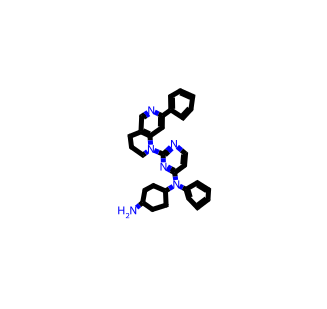 NC1CCC(N(c2ccccc2)c2ccnc(N3CCCc4cnc(-c5ccccc5)cc43)n2)CC1